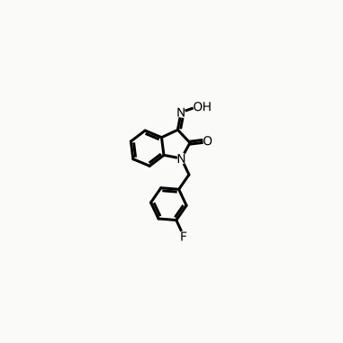 O=C1/C(=N\O)c2ccccc2N1Cc1cccc(F)c1